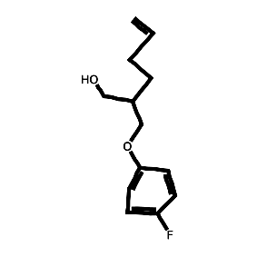 C=CCCC(CO)COc1ccc(F)cc1